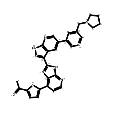 CC(=O)c1ccc(-c2ccnc3[nH]c(-c4n[nH]c5ncc(-c6cncc(CN7CCCC7)c6)cc45)nc23)s1